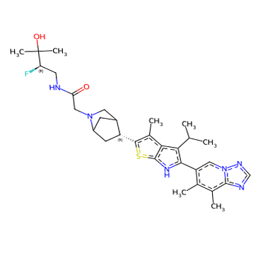 Cc1c(-c2[nH]c3sc([C@@H]4CC5CC4CN5CC(=O)NC[C@@H](F)C(C)(C)O)c(C)c3c2C(C)C)cn2ncnc2c1C